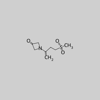 C=C(CCS(C)(=O)=O)N1CC(=O)C1